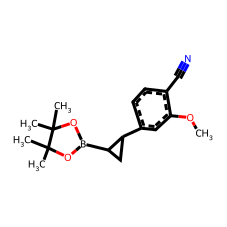 COc1cc(C2CC2B2OC(C)(C)C(C)(C)O2)ccc1C#N